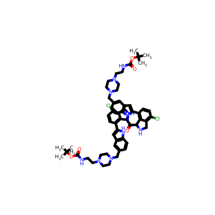 CC(C)(C)OC(=O)NCCN1CCN(Cc2ccc3[nH]c(-c4ccc(Cl)c5c4C(C(=O)C4NCc6c(Cl)ccc(-c7cc8cc(CN9CCN(CCNC(=O)OC(C)(C)C)CC9)ccc8[nH]7)c64)NC5)cc3c2)CC1